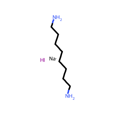 I.NCCCCCCCCN.[Na]